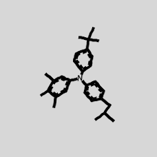 Cc1cc(N(c2ccc(CC(C)C)cc2)c2ccc(C(C)(C)C)cc2)cc(C)c1C